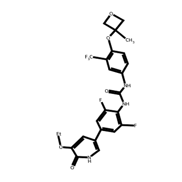 CCOc1cc(-c2cc(F)c(NC(=O)Nc3ccc(OC4(C)COC4)c(C(F)(F)F)c3)c(F)c2)c[nH]c1=O